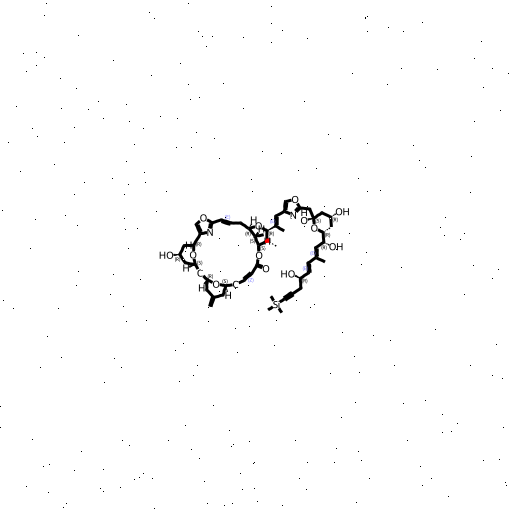 C=C1C[C@@H]2C[C@@H]3C[C@@H](O)C[C@@H](O3)c3coc(n3)/C=C/C[C@H]3O[C@@H](/C(C)=C/c4coc(C[C@]5(O)C[C@H](O)C[C@H]([C@H](O)/C=C(C)/C=C/[C@H](O)CC#C[Si](C)(C)C)O5)n4)[C@H](C)[C@@H](OC(=O)/C=C\C[C@@H](C1)O2)[C@H]3C